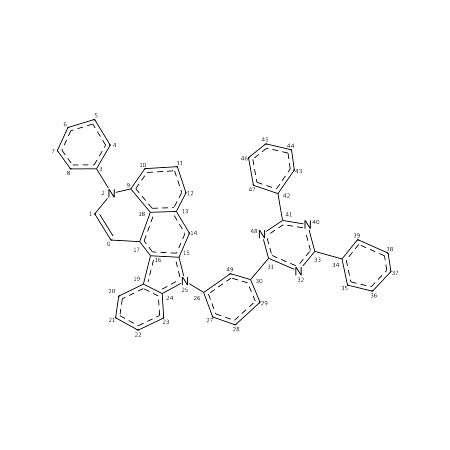 C1=CN(c2ccccc2)c2cccc3cc4c(c1c23)c1ccccc1n4-c1cccc(-c2nc(-c3ccccc3)nc(-c3ccccc3)n2)c1